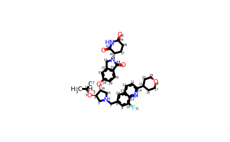 CC(C)O[C@@H]1CN(Cc2cc(F)c3nc(C4CCOCC4)ccc3c2)C[C@H]1Oc1ccc2c(c1)CN([C@H]1CCC(=O)NC1=O)C2=O